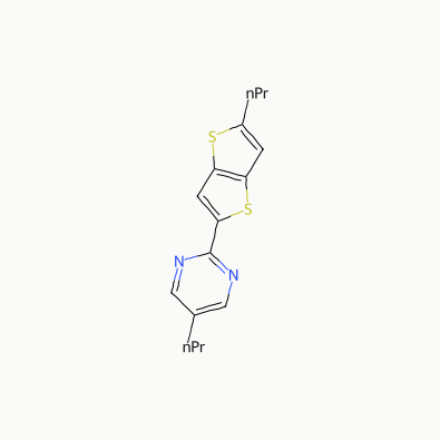 CCCc1cnc(-c2cc3sc(CCC)cc3s2)nc1